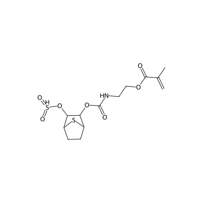 C=C(C)C(=O)OCCNC(=O)OC1C2CCC(S2)C1O[SH](=O)=O